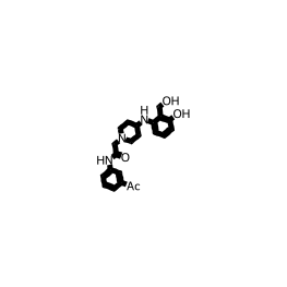 CC(=O)c1cccc(NC(=O)CN2CCC(Nc3cccc(O)c3CO)CC2)c1